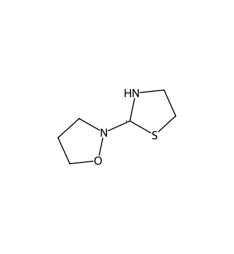 C1CON([C]2NCCS2)C1